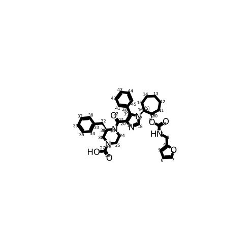 O=C(NCc1ccco1)O[C@H]1CCCCC[C@@H]1n1cnc(C(=O)N2CCN(C(=O)O)C[C@H]2Cc2ccccc2)c1-c1ccccc1